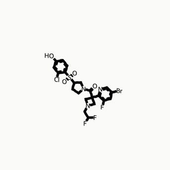 O=C(N1CCC(S(=O)(=O)c2ccc(O)cc2Cl)C1)C1(c2ncc(Br)cc2F)CN(CC(F)F)C1